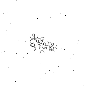 CC[C@H](C)C([C@@H](CC(=O)N1CCC[C@H]1[C@H](OC)[C@@H](C)C(=O)N[C@H](C)Cc1ccc(OC)cc1)OC)N(C)C(=O)[C@@H](NC(=O)[C@H](C(C)C)N(C)C)C(C)C